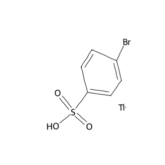 O=S(=O)(O)c1ccc(Br)cc1.[Tl]